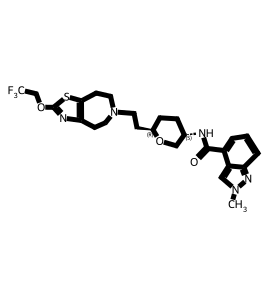 Cn1cc2c(C(=O)N[C@H]3CC[C@H](CCN4CCc5nc(OCC(F)(F)F)sc5CC4)OC3)cccc2n1